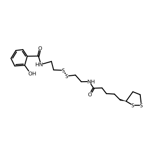 O=C(CCCC[C@H]1CCSS1)NCCSSCCNC(=O)c1ccccc1O